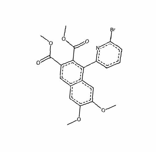 COC(=O)c1cc2cc(OC)c(OC)cc2c(-c2cccc(Br)n2)c1C(=O)OC